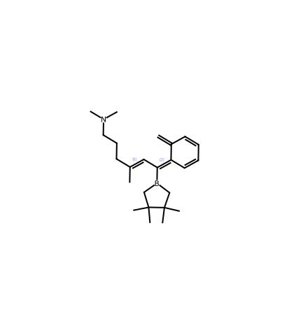 C=c1cccc/c1=C(/C=C(\C)CCCN(C)C)B1CC(C)(C)C(C)(C)C1